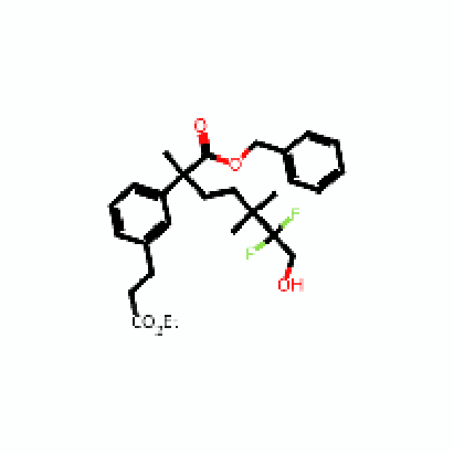 CCOC(=O)CCc1cccc(C(C)(CCC(C)(C)C(F)(F)CO)C(=O)OCc2ccccc2)c1